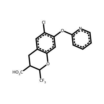 O=C(O)C1Cc2cc(Cl)c(Oc3ccccn3)cc2OC1C(F)(F)F